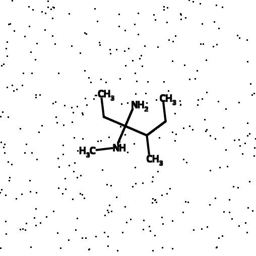 CCC(C)C(N)(CC)NC